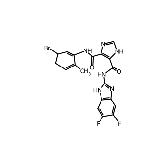 CC1=CCC(Br)C=C1NC(=O)c1nc[nH]c1C(=O)Nc1nc2cc(F)c(F)cc2[nH]1